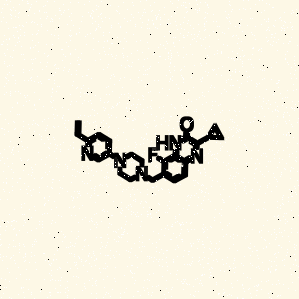 C=Cc1ccc(N2CCN(Cc3ccc4nc(C5CC5)c(=O)[nH]c4c3F)CC2)cn1